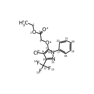 CCOC(=O)COc1c(Cl)c(C(F)(F)F)nn1-c1ccccc1